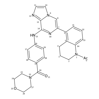 CC(=O)N1CCCc2c(-c3cn4ccnc4c(Nc4ccc(C(=O)N5CCOCC5)cc4)n3)cccc21